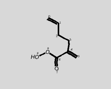 C=CCCC(=C)C(=O)OO